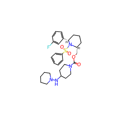 O=C(OC[C@H]1CCC[C@@H](c2cccc(F)c2)N1S(=O)(=O)c1ccccc1)N1CCC(NN2CCCCC2)CC1